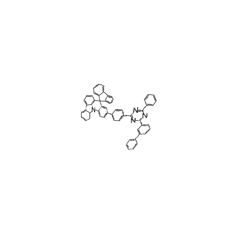 c1ccc(-c2cccc(-c3nc(-c4ccccc4)nc(-c4ccc(-c5ccc6c(c5)C5(c7ccccc7-c7ccccc75)c5cccc7c8ccccc8n-6c57)cc4)n3)c2)cc1